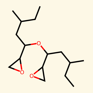 CCC(C)CC(OC(CC(C)CC)C1CO1)C1CO1